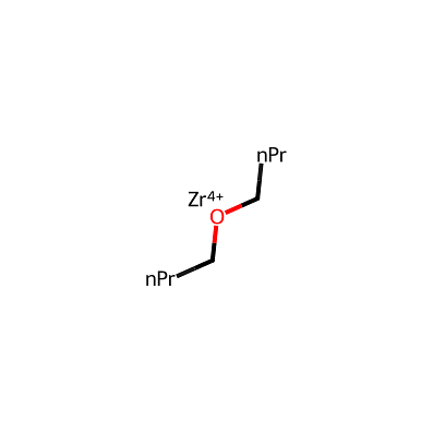 CCCCOCCCC.[Zr+4]